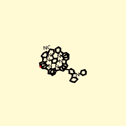 N#Cc1ccc(-c2c(-n3c4ccccc4c4ccccc43)c(-n3c4ccccc4c4ccccc43)c(-n3c4ccccc4c4cc(-c5ccc6c(c5)c5ccccc5n6-c5ccccc5)ccc43)c(-n3c4ccccc4c4ccccc43)c2-n2c3ccccc3c3ccccc32)nc1